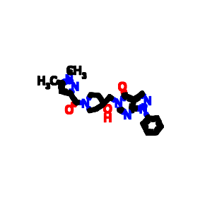 Cc1cc(C(=O)N2CCC(O)(Cn3cnc4c(cnn4-c4ccccc4)c3=O)CC2)nn1C